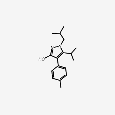 Cc1ccc(-c2c(O)nn(CC(C)C)c2C(C)C)cc1